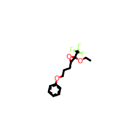 CCOC1(C(F)(F)F)OC1CCCOc1ccccc1